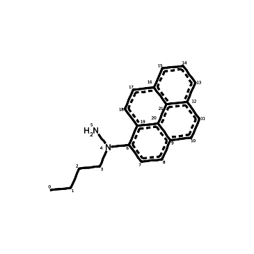 CCCCN(N)c1ccc2ccc3cccc4ccc1c2c34